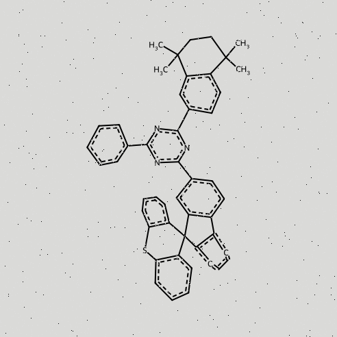 CC1(C)CCC(C)(C)c2cc(-c3nc(-c4ccccc4)nc(-c4ccc5c(c4)C4(c6ccccc6Sc6ccccc64)c4ccccc4-5)n3)ccc21